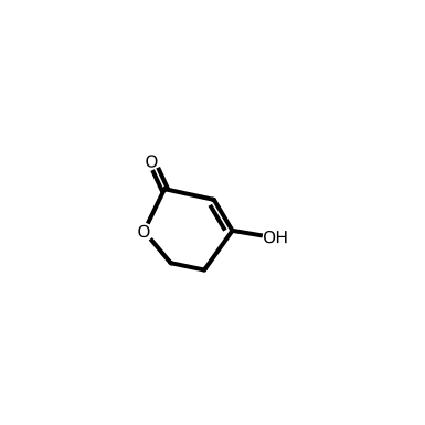 O=C1C=C(O)CCO1